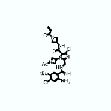 C=CC(=O)N1CC(NC(=O)c2c(Cl)nc(CNC(=N)c3cc(C(C)(C)C)c(Cl)cc3N)n2C2CN(C(C)=O)C2)C1